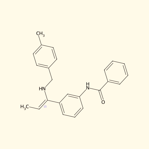 C/C=C(\NCc1ccc(C)cc1)c1cccc(NC(=O)c2ccccc2)c1